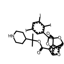 CC(C)(OC(=O)c1c2c3oc1c(OC(=O)c1cc(I)cc(I)c1I)c3OC2=O)C1CCNCC1